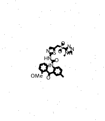 COc1ccccc1C(=O)c1cc(C)ccc1NC(=O)Nc1ncc(CS(=O)(=O)c2nnnn2C)s1